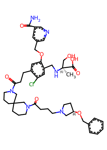 C[C@@](CO)(NCc1cc(Cl)c(CCC(=O)N2CCCC3(CCCN(C(=O)CCCN4CC[C@@H](OCc5ccccc5)C4)C3)C2)cc1OCc1cncc(C(N)=O)c1)C(=O)O